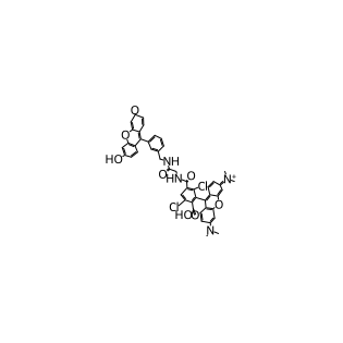 CN(C)c1ccc2c(-c3c(Cl)c(C(=O)NCC(=O)NCc4cccc(-c5c6ccc(=O)cc-6oc6cc(O)ccc56)c4)cc(Cl)c3C(=O)O)c3ccc(=[N+](C)C)cc-3oc2c1